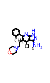 Cc1ccccc1-c1nc2[nH]nc(N)c2c(C)c1CCN1CCOCC1